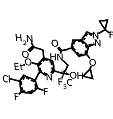 CCOc1c(CC(N)=O)cc([C@@](O)(CNC(=O)c2cc(OC3CC3)c3nn(C4(F)CC4)cc3c2)C(F)(F)F)nc1-c1cc(Cl)c(F)cc1F